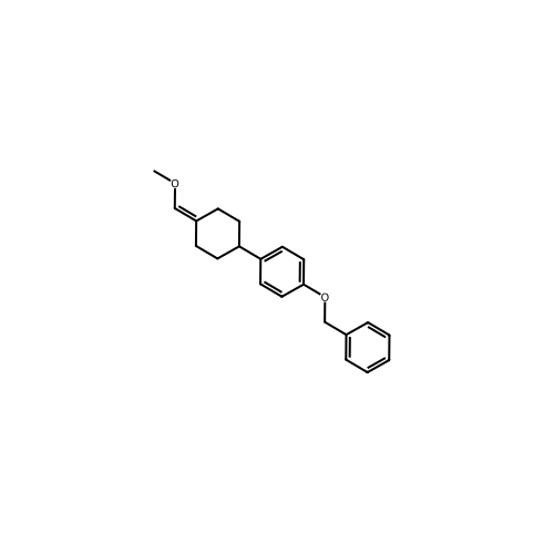 COC=C1CCC(c2ccc(OCc3ccccc3)cc2)CC1